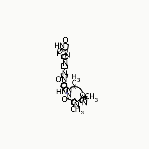 Cc1cc2cc(n1)-c1cnn(C)c1OCCC[C@@H](C)CN1/C(=N/C2=O)Nc2ccc(N3CCN(C4CCN(c5cnc([C@H]6CCC(=O)NC6=O)c(F)c5)CC4)CC3=O)cc21